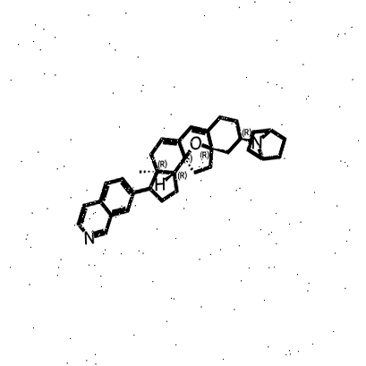 C[C@]12CC=C3C=C4CC[C@@H](N5C6CCC5CC6)C[C@]45CC[C@]3(O5)[C@@H]1CCC2c1ccc2ccncc2c1